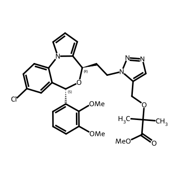 COC(=O)C(C)(C)OCc1cnnn1CC[C@H]1O[C@H](c2cccc(OC)c2OC)c2cc(Cl)ccc2-n2cccc21